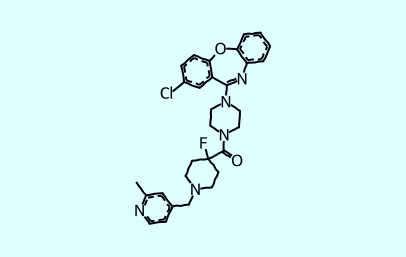 Cc1cc(CN2CCC(F)(C(=O)N3CCN(C4=Nc5ccccc5Oc5ccc(Cl)cc54)CC3)CC2)ccn1